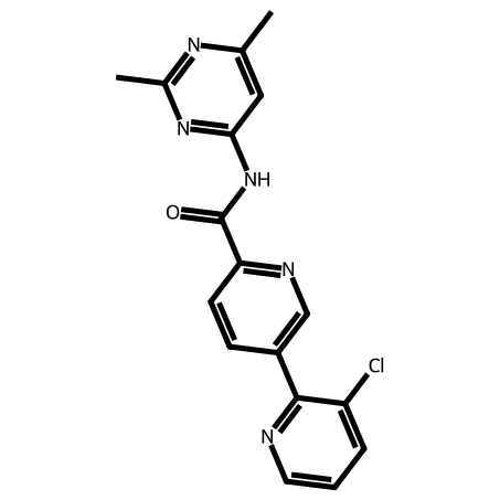 Cc1cc(NC(=O)c2ccc(-c3ncccc3Cl)cn2)nc(C)n1